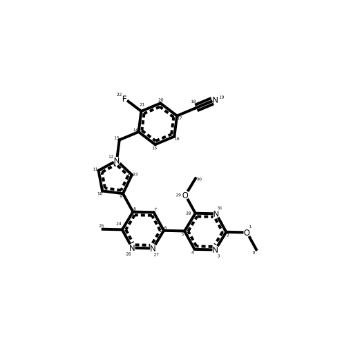 COc1ncc(-c2cc(-c3ccn(Cc4ccc(C#N)cc4F)c3)c(C)nn2)c(OC)n1